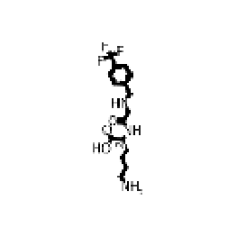 NCCCC[C@H](NC(=O)CNCc1ccc(C(F)(F)F)cc1)C(=O)O